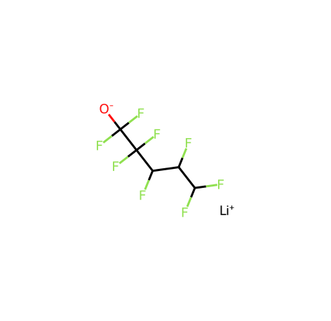 [Li+].[O-]C(F)(F)C(F)(F)C(F)C(F)C(F)F